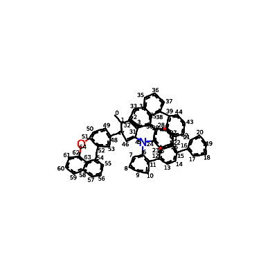 CC1C=CC(N(c2ccccc2-c2ccc(-c3ccccc3)cc2)c2ccccc2-c2cccc3cccc(-c4ccccc4)c23)=CC1c1ccc2c(c1)-c1cccc3cccc(c13)O2